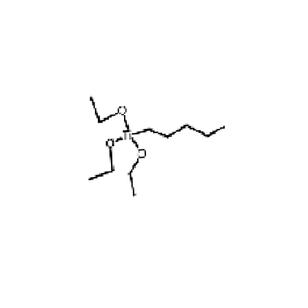 CCCC[CH2][Ti]([O]CC)([O]CC)[O]CC